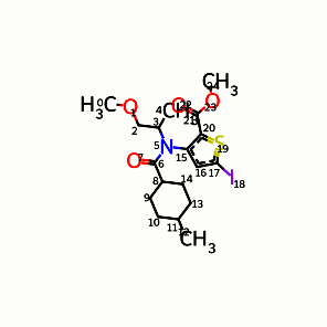 COCC(C)N(C(=O)C1CCC(C)CC1)c1cc(I)sc1C(=O)OC